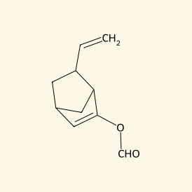 C=CC1CC2C=C(OC=O)C1C2